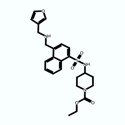 CCOC(=O)N1CCC(NS(=O)(=O)c2ccc(CNCc3ccoc3)c3ccccc23)CC1